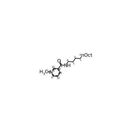 CCCCCCCCCCCCNC(=O)c1ccc[n+](C)c1